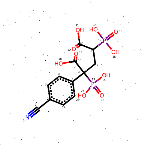 N#Cc1ccc(C(CC(C(=O)O)P(=O)(O)O)(C(=O)O)P(=O)(O)O)cc1